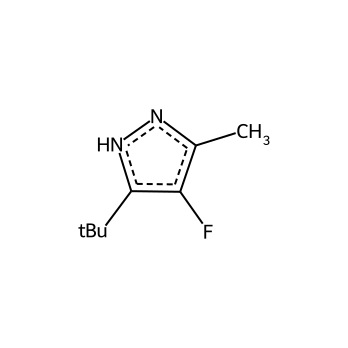 Cc1n[nH]c(C(C)(C)C)c1F